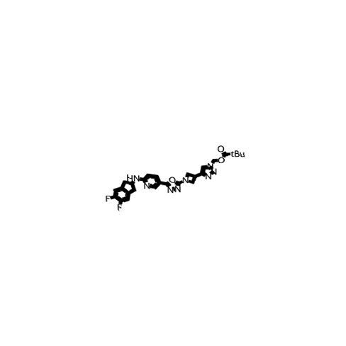 CC(C)(C)C(=O)OCn1cc(C2CN(c3nnc(-c4ccc(NC5Cc6cc(F)c(F)cc6C5)nc4)o3)C2)nn1